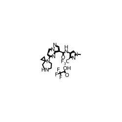 Cn1cc(NC(=O)c2cnn3ccc(N4CCNCCC45CC5)nc23)c(C(F)(F)F)n1.O=C(O)C(F)(F)F